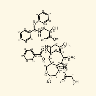 CC[C@H]1C[C@@H](OC(=O)CO)[C@@]2(C)C(=O)[C@H](OC(C)=O)C3=C(C)[C@@H](OC(=O)[C@H](O)[C@@H](NC(=O)c4ccccc4)c4ccccc4)C[C@](O)(C3)[C@@H](OC(=O)c3ccccc3)C2CO1